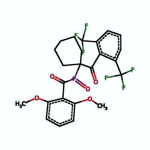 COc1cccc(OC)c1C(=O)[P](=O)C1(C(=O)c2c(C(F)(F)F)cccc2C(F)(F)F)CCCCC1